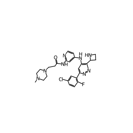 CN1CCN(CCC(=O)Nc2cc(Nc3cc(-c4cc(Cl)ccc4F)nnc3C3CCN3)ccn2)CC1